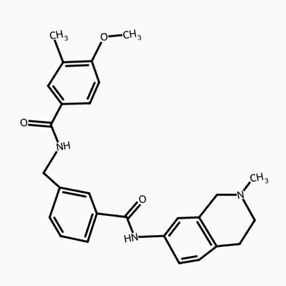 COc1ccc(C(=O)NCc2cccc(C(=O)Nc3ccc4c(c3)CN(C)CC4)c2)cc1C